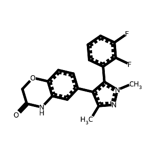 Cc1nn(C)c(-c2cccc(F)c2F)c1-c1ccc2c(c1)NC(=O)CO2